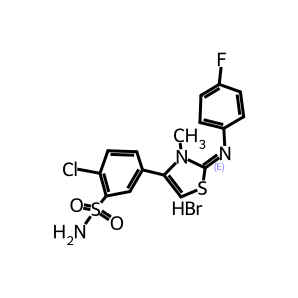 Br.Cn1c(-c2ccc(Cl)c(S(N)(=O)=O)c2)cs/c1=N/c1ccc(F)cc1